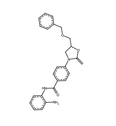 C=C1OC(COCc2ccccc2)CN1c1ccc(C(=O)Nc2ccccc2N)cc1